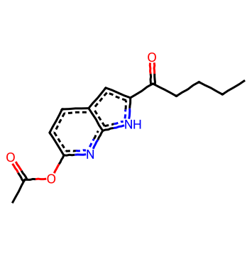 CCCCC(=O)c1cc2ccc(OC(C)=O)nc2[nH]1